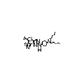 CCCCCN(CCCCC)[C@H]1CC[C@H](Nc2ncc(Cl)c(-c3cnn(C)c3CC3CC3)n2)CC1